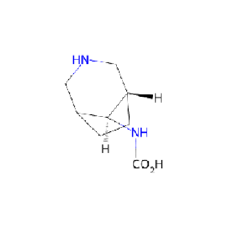 O=C(O)N[C@H]1C2CC[C@H]1CNC2